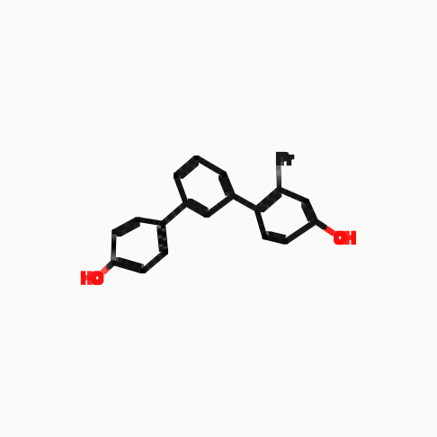 CC(C)c1cc(O)ccc1-c1cccc(-c2ccc(O)cc2)c1